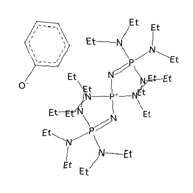 CCN(CC)P(=N[P+](N=P(N(CC)CC)(N(CC)CC)N(CC)CC)(N(CC)CC)N(CC)CC)(N(CC)CC)N(CC)CC.[O-]c1ccccc1